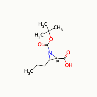 CCCC1[C@H](C(=O)O)N1C(=O)OC(C)(C)C